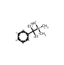 CCC[N+](C)(C)C(CC)(CC)c1ccccc1